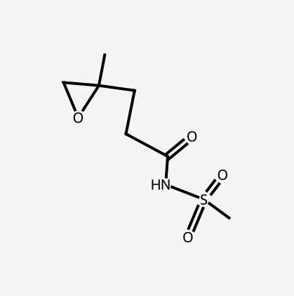 CC1(CCC(=O)NS(C)(=O)=O)CO1